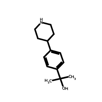 CC(C)(O)c1ccc(C2CCNCC2)cc1